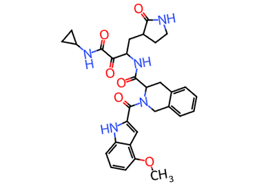 COc1cccc2[nH]c(C(=O)N3Cc4ccccc4CC3C(=O)NC(CC3CCNC3=O)C(=O)C(=O)NC3CC3)cc12